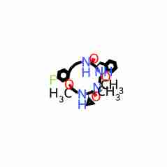 C[C@@H]1CN[C@@H](C2CC2)C(=O)N(C)[C@H](C)C(=O)N[C@H](Cc2ccccc2)C(=O)NCCCc2ccc(F)cc2O1